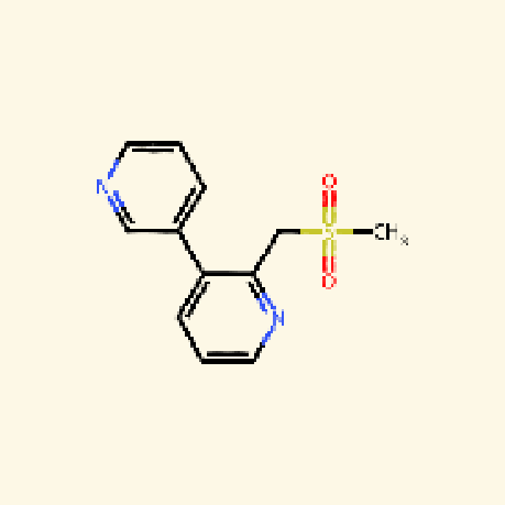 CS(=O)(=O)Cc1ncccc1-c1cccnc1